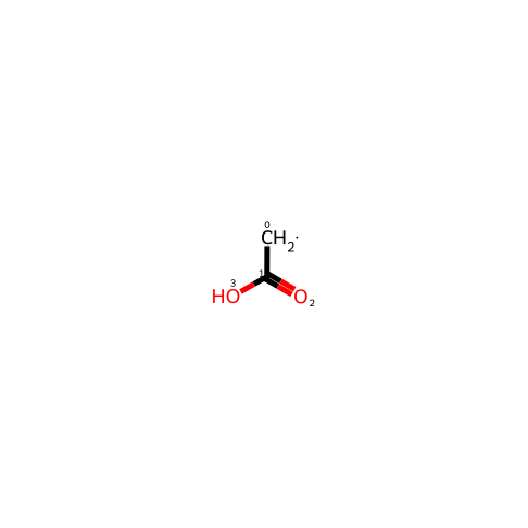 [CH2]C(=O)O